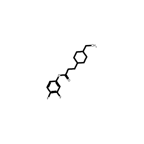 CCC1CCC(CCC(=O)Oc2ccc(F)c(F)c2)CC1